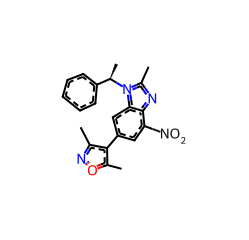 Cc1noc(C)c1-c1cc([N+](=O)[O-])c2nc(C)n([C@H](C)c3ccccc3)c2c1